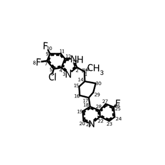 C[C@@H](c1nc2c(Cl)c(F)c(F)cc2[nH]1)C1CCC(c2ccnc3ccc(F)cc23)CC1